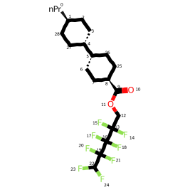 CCC[C@H]1CC[C@H]([C@H]2CC[C@H](C(=O)OCC(F)(F)C(F)(F)C(F)(F)C(F)F)CC2)CC1